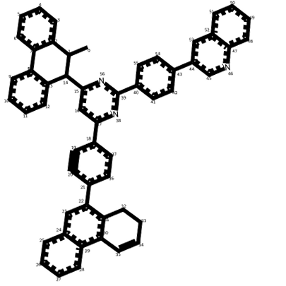 CC1c2ccccc2-c2ccccc2C1c1cc(-c2c#cc(-c3cc4ccccc4c4c3CCC=C4)cc2)nc(-c2ccc(-c3cnc4ccccc4c3)cc2)n1